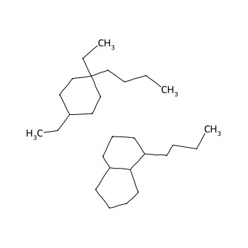 CCCCC1(CC)CCC(CC)CC1.CCCCC1CCCC2CCCCC12